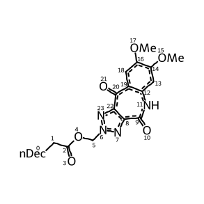 CCCCCCCCCCCC(=O)OCn1nc2c(=O)[nH]c3cc(OC)c(OC)cc3c(=O)c2n1